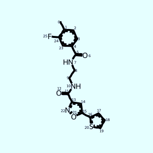 Cc1ccc(C(=O)NCCNC(=O)c2cc(-c3cccs3)on2)cc1F